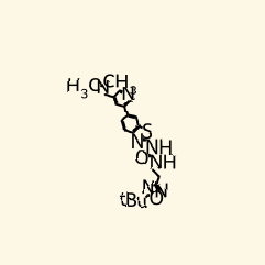 CN(C)Cc1cncc(-c2ccc3nc(NC(=O)NCCc4noc(C(C)(C)C)n4)sc3c2)c1